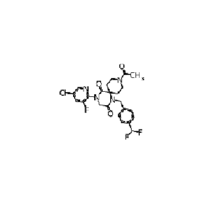 CC(=O)N1CCC2(CC1)C(=O)N(c1ncc(Cl)cc1F)CC(=O)N2Cc1ccc(C(F)F)cc1